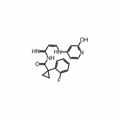 N=C(/C=C\Nc1ccnc(O)c1)NC(=O)C1(c2ccccc2F)CC1